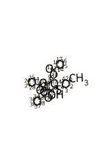 Cc1ccc(S[C@@H]2O[C@H](COC(=O)c3ccccc3)[C@H](OC(=O)c3ccccc3)[C@H](OC(=O)c3ccccc3)[C@H]2O)cc1